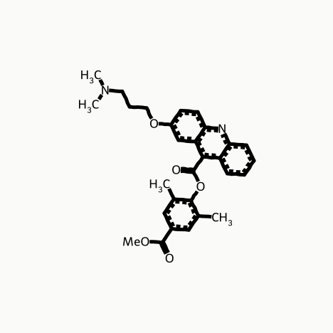 COC(=O)c1cc(C)c(OC(=O)c2c3ccccc3nc3ccc(OCCCN(C)C)cc23)c(C)c1